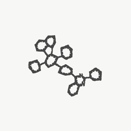 c1ccc(-c2nc(-c3ccc(-c4cc(-c5ccccc5)c5c(c4-c4ccccc4)-c4cccc6cccc-5c46)cc3)c3ccccc3n2)cc1